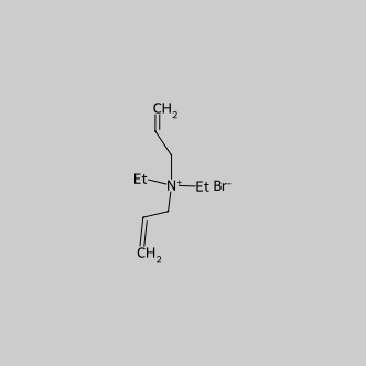 C=CC[N+](CC)(CC)CC=C.[Br-]